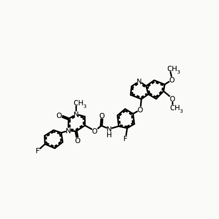 COc1cc2nccc(Oc3ccc(NC(=O)Oc4cn(C)c(=O)n(-c5ccc(F)cc5)c4=O)c(F)c3)c2cc1OC